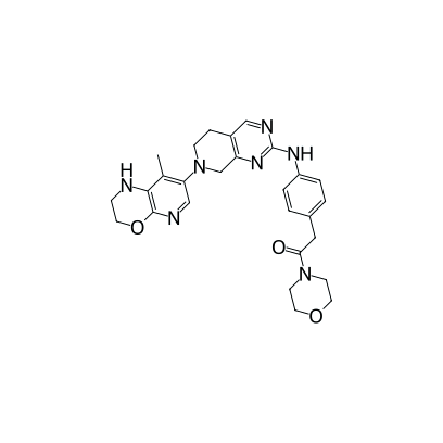 Cc1c(N2CCc3cnc(Nc4ccc(CC(=O)N5CCOCC5)cc4)nc3C2)cnc2c1NCCO2